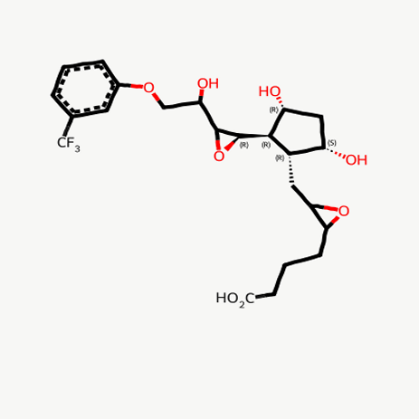 O=C(O)CCCC1OC1C[C@@H]1[C@@H]([C@H]2OC2C(O)COc2cccc(C(F)(F)F)c2)[C@H](O)C[C@@H]1O